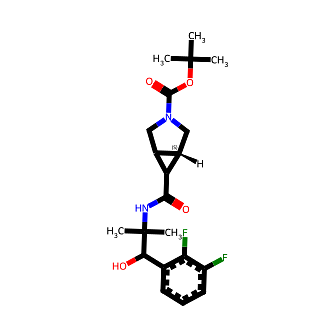 CC(C)(C)OC(=O)N1CC2C(C(=O)NC(C)(C)C(O)c3cccc(F)c3F)[C@H]2C1